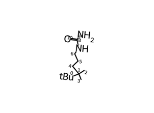 CC(C)(C)C(C)(C)CCCNC(N)=O